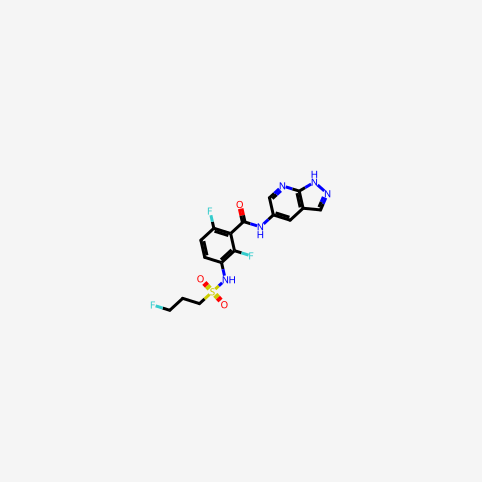 O=C(Nc1cnc2[nH]ncc2c1)c1c(F)ccc(NS(=O)(=O)CCCF)c1F